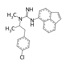 CC(Cc1ccc(Cl)cc1)N(C)C(=N)Nc1ccc2c3c(cccc13)C=C2